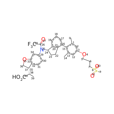 Cc1cc(OCCCS(C)(=O)=O)cc(C)c1-c1cccc2c1CCC2N(C(=O)C(F)(F)F)c1ccc2c(c1)OC[C@H]2C(C)C(=O)O